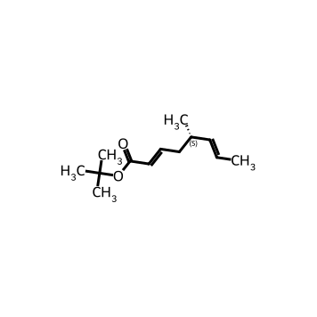 CC=C[C@@H](C)CC=CC(=O)OC(C)(C)C